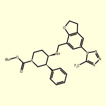 CC(C)(C)OC(=O)N1CC[C@@H](NCc2cc(-n3nnnc3C(F)(F)F)cc3c2OCC3)[C@@H](c2ccccc2)C1